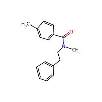 Cc1ccc(C(=O)N(C)CCc2ccccc2)cc1